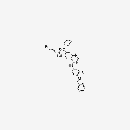 O=C(/C=C/CBr)Nc1cc2c(Nc3ccc(OCc4ccccn4)c(Cl)c3)ncnc2cc1OC1CCOC1